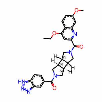 CCOc1cc(C(=O)N2C[C@@H]3[C@H]4CN(C(=O)c5ccc6[nH]nnc6c5)C[C@H]4[C@@H]3C2)nc2cc(OC)ccc12